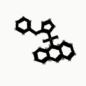 C[Si](C)(C1=C(Cc2ccccc2)C=CC1)c1c2ccccc2cc2ccccc12